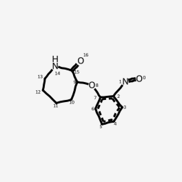 O=Nc1ccccc1OC1CCCCNC1=O